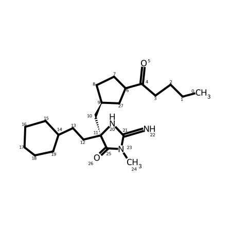 CCCCC(=O)C1CC[C@H](C[C@]2(CCC3CCCCC3)NC(=N)N(C)C2=O)C1